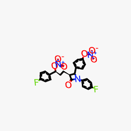 O=C1[C@@H](CC[C@H](O[N+](=O)[O-])c2ccc(F)cc2)C(c2ccc(O[N+](=O)[O-])cc2)N1c1ccc(F)cc1